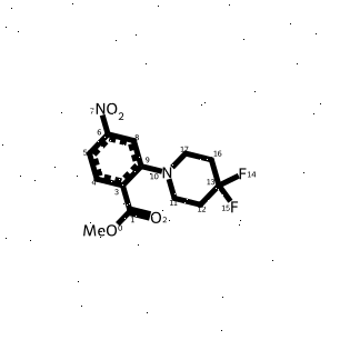 COC(=O)c1ccc([N+](=O)[O-])cc1N1CCC(F)(F)CC1